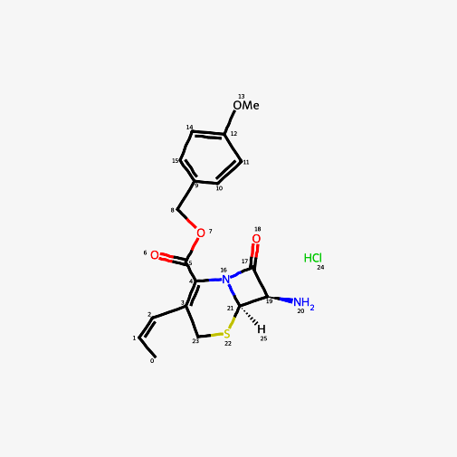 C/C=C\C1=C(C(=O)OCc2ccc(OC)cc2)N2C(=O)[C@@H](N)[C@H]2SC1.Cl